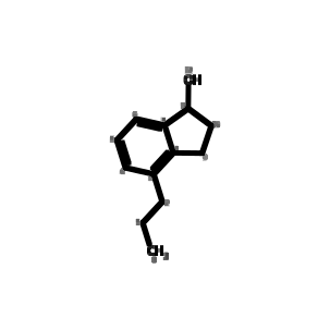 CCCc1cccc2c1CCC2O